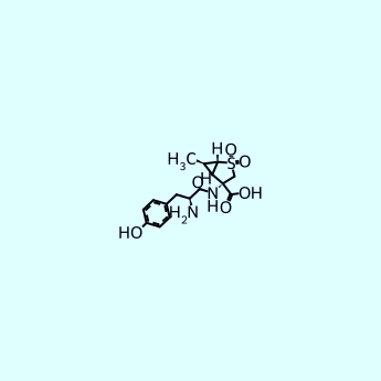 C[C@@H]1[C@@H]2[C@H]1S(=O)(=O)C[C@@]2(NC(=O)[C@@H](N)Cc1ccc(O)cc1)C(=O)O